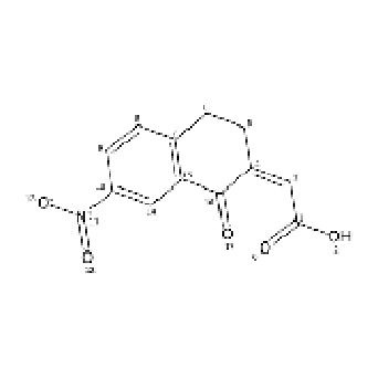 O=C(O)/C=C1/CCc2ccc([N+](=O)[O-])cc2C1=O